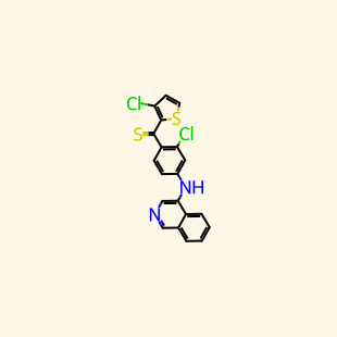 S=C(c1ccc(Nc2cncc3ccccc23)cc1Cl)c1sccc1Cl